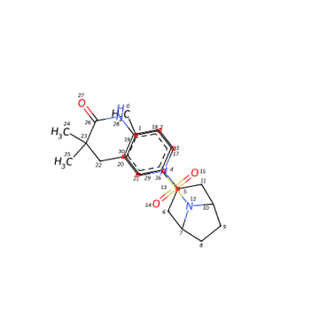 CC1CCN(C2CC3CCC(C2)N3S(=O)(=O)c2ccc3c(c2)CC(C)(C)C(=O)N3)CC1